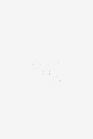 [Cl][Sn]([Cl])[Cl].c1ccc(-c2ccc(-c3ccccc3)c3ccccc23)cc1